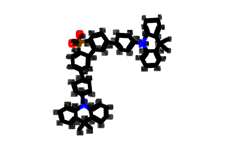 CC1(C)c2ccccc2N(c2ccc(-c3ccc4c(c3)-c3cc(-c5ccc(N6c7ccccc7C(C)(C)c7ccccc76)cc5)ccc3S4(=O)=O)cc2)c2ccccc21